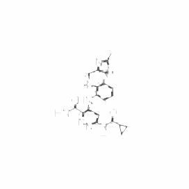 CNC(=O)c1nnc(NC(=O)C2CC2)cc1Nc1cccc2c1N(C)[C@H](C)c1nc(C)nn1-2